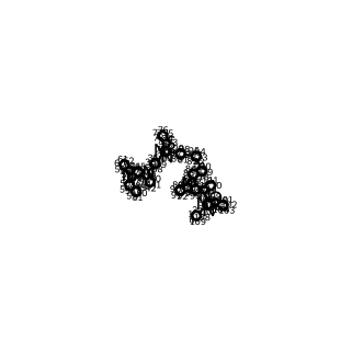 c1ccc(-c2nc(-n3c4ccccc4c4c5c6c7cccc(-c8cccc(-c9ccc(-c%10nc(-c%11ccc(-n%12c%13ccccc%13c%13c%14c%15c%16ccccc%16ccc%15n%15c%16ccccc%16c(cc%13%12)c%14%15)cc%11)nc%11c%10sc%10ccccc%10%11)cc9)c8)c7ccc6n6c7ccccc7c(cc43)c56)c3oc4ccccc4c3n2)cc1